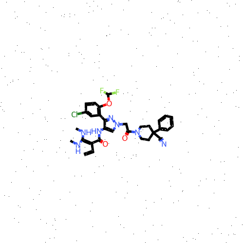 C=CC(C(=O)Nc1cn(CC(=O)N2CCC(C#N)(c3ccccc3)CC2)nc1-c1cc(Cl)ccc1OC(F)F)=C(NC)NC